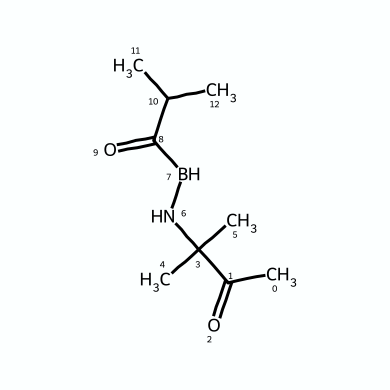 CC(=O)C(C)(C)NBC(=O)C(C)C